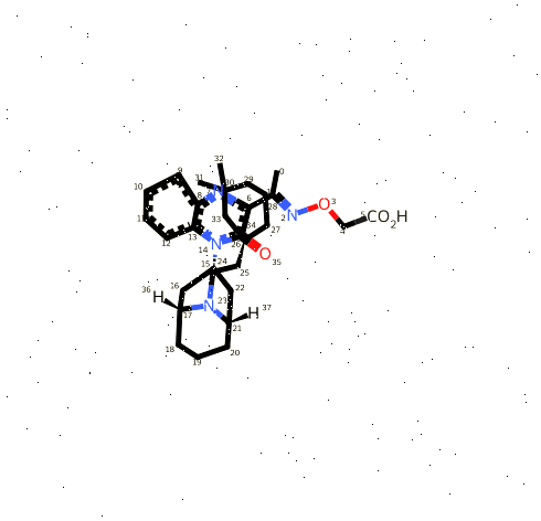 C/C(=N\OCC(=O)O)c1nc2ccccc2n([C@H]2C[C@H]3CCC[C@@H](C2)N3CC[C@@H]2CCCC(C)(C)C2)c1=O